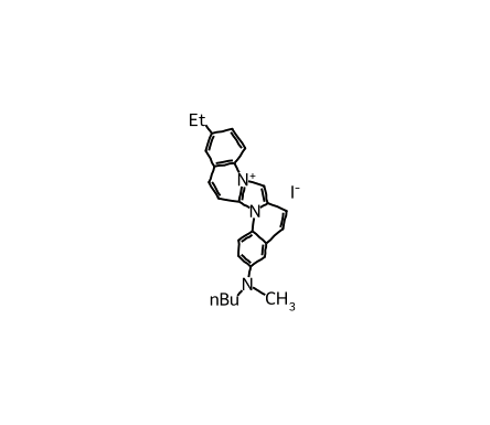 CCCCN(C)c1ccc2c(ccc3c[n+]4c5ccc(CC)cc5ccc4n32)c1.[I-]